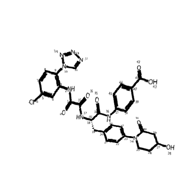 O=C(Nc1cc(Cl)ccc1-n1cnnn1)C(=O)N[C@@H](Cc1ccc(N2CCC(O)CC2=O)cc1)C(=O)Nc1ccc(C(=O)O)cc1